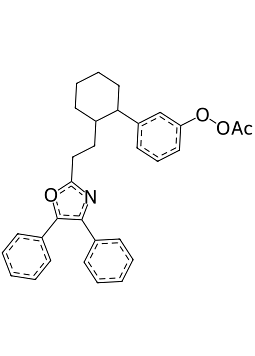 CC(=O)OOc1cccc(C2CCCCC2CCc2nc(-c3ccccc3)c(-c3ccccc3)o2)c1